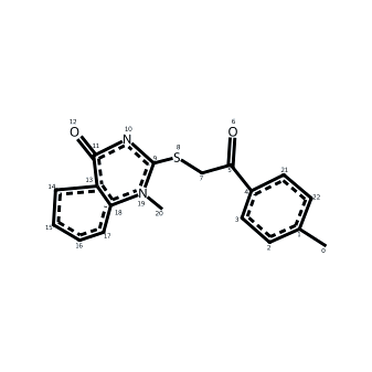 Cc1ccc(C(=O)CSc2nc(=O)c3ccccc3n2C)cc1